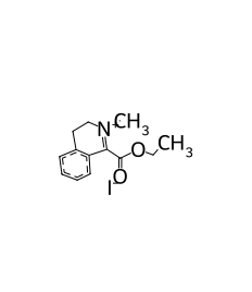 CCOC(=O)C1=[N+](C)CCc2ccccc21.[I-]